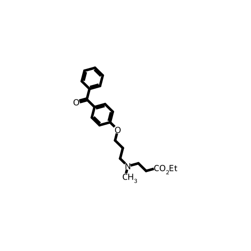 CCOC(=O)CCN(C)CCCOc1ccc(C(=O)c2ccccc2)cc1